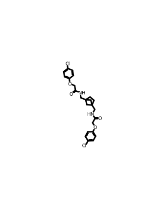 O=C(COc1ccc(Cl)cc1)NCC12CCC(CNC(=O)COc3ccc(Cl)cc3)(C1)C2